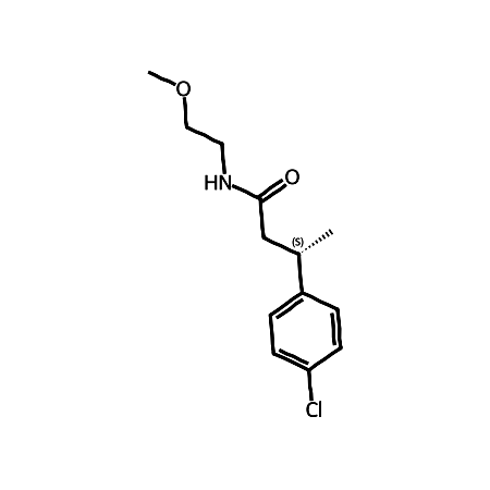 COCCNC(=O)C[C@H](C)c1ccc(Cl)cc1